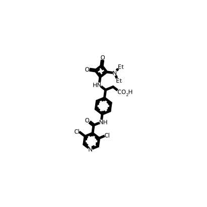 CCN(CC)c1c(NC(CC(=O)O)c2ccc(NC(=O)c3c(Cl)cncc3Cl)cc2)c(=O)c1=O